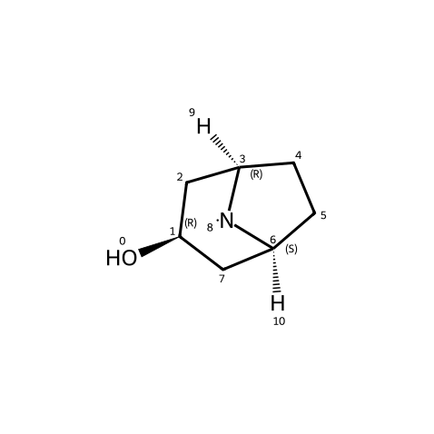 O[C@H]1C[C@H]2CC[C@@H](C1)[N]2